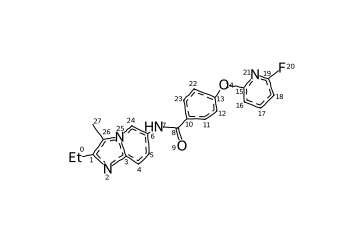 CCc1nc2ccc(NC(=O)c3ccc(Oc4cccc(F)n4)cc3)cn2c1C